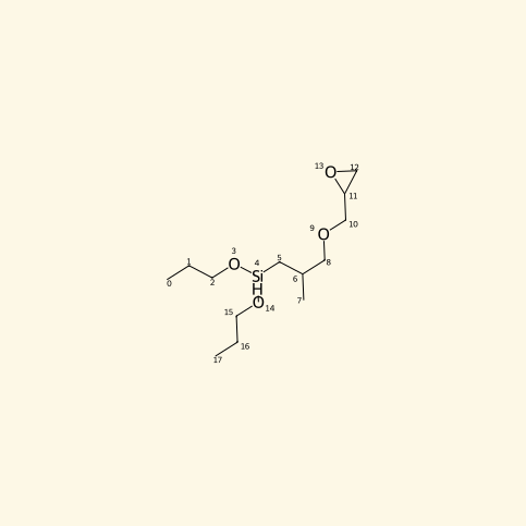 CCCO[SiH](CC(C)COCC1CO1)OCCC